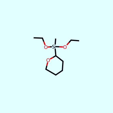 CCO[Si](C)(OCC)C1CCCCO1